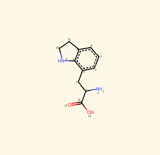 NC(Cc1cccc2c1NCC2)C(=O)O